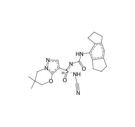 CC1(C)COc2c([S@](=O)(=NC(=O)Nc3c4c(cc5c3CCC5)CCC4)NC#N)cnn2C1